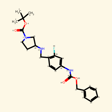 CC(C)(C)OC(=O)N1CCC(NCc2ccc(NC(=O)OCc3ccccc3)cc2F)C1